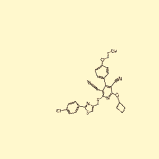 N#Cc1c(OC2CCC2)nc(SCc2csc(-c3ccc(Cl)cc3)n2)c(C#N)c1-c1ccc(OCCO)cc1